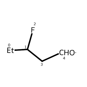 CCC(F)C[C]=O